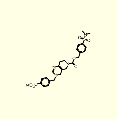 CN(C)S(=O)(=O)c1ccc(COC(=O)N2CCC3=C(CN(Cc4ccc(C(=O)O)cc4)C=N3)C2)cc1